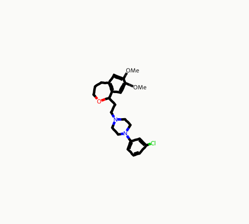 COc1cc2c(cc1OC)C(CCN1CCN(c3cccc(Cl)c3)CC1)OCCC2